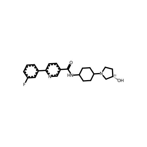 O=C(NC1CCC(N2CC[C@H](O)C2)CC1)c1ccc(-c2cccc(F)c2)nc1